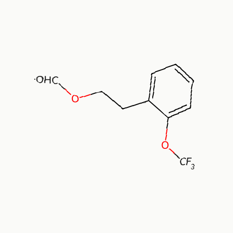 O=[C]OCCc1ccccc1OC(F)(F)F